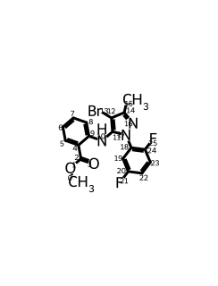 COC(=O)c1ccccc1Nc1c(Br)c(C)nn1-c1cc(F)ccc1F